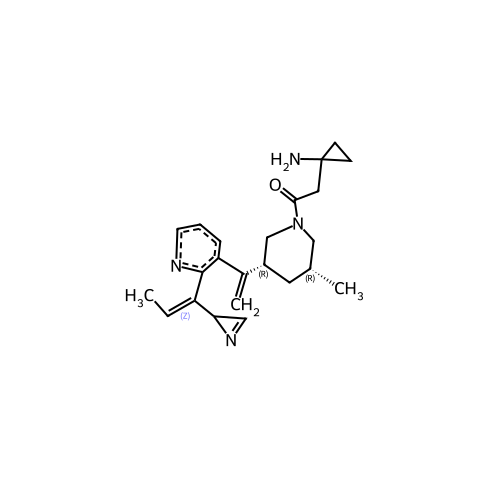 C=C(c1cccnc1/C(=C\C)C1C=N1)[C@H]1C[C@@H](C)CN(C(=O)CC2(N)CC2)C1